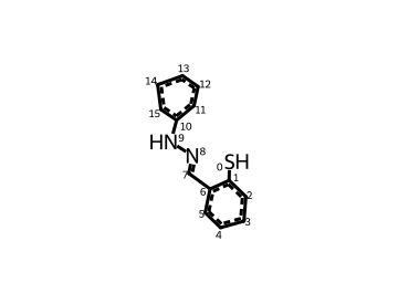 Sc1ccccc1/C=N/Nc1ccccc1